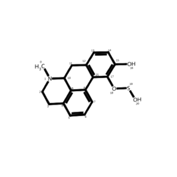 CN1CCc2cccc3c2C1Cc1ccc(O)c(OSO)c1-3